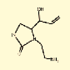 C=CC(O)C1CNC(=O)N1CCN